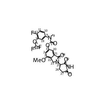 COc1cc(OC(=O)N(C)c2ccc(F)c(OC(F)F)c2)cc2c1CN(C1CCC(=O)NC1=O)C2=O